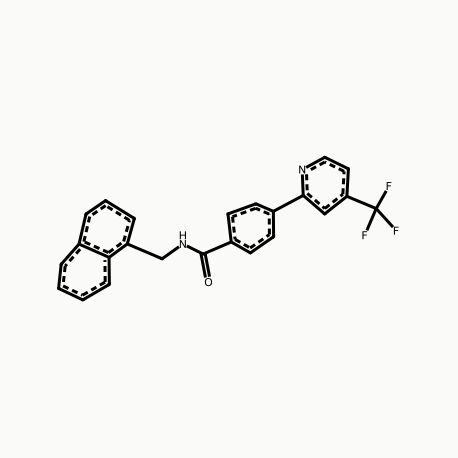 O=C(NCc1cccc2ccccc12)c1ccc(-c2cc(C(F)(F)F)ccn2)cc1